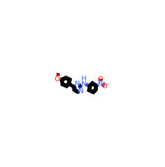 COc1ccc(-c2ccnc(Nc3cccc([N+](=O)[O-])c3)n2)cc1